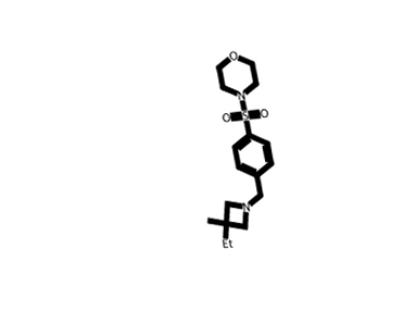 CCC1(C)CN(Cc2ccc(S(=O)(=O)N3CCOCC3)cc2)C1